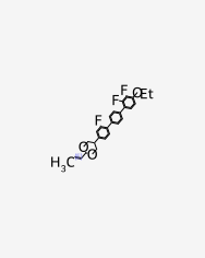 C/C=C/C1OCC(c2ccc(-c3ccc(-c4ccc(OCC)c(F)c4F)cc3)c(F)c2)CO1